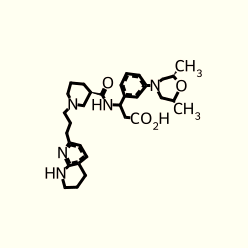 C[C@@H]1CN(c2cccc(C(CC(=O)O)NC(=O)[C@@H]3CCCN(CCCc4ccc5c(n4)NCCC5)C3)c2)C[C@H](C)O1